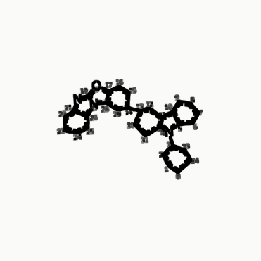 c1ccc(-n2c3ccccc3c3cc(-c4ccc5oc6nc7ccccc7n6c5c4)ccc32)cc1